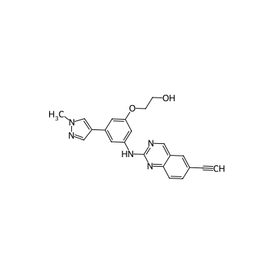 C#Cc1ccc2nc(Nc3cc(OCCO)cc(-c4cnn(C)c4)c3)ncc2c1